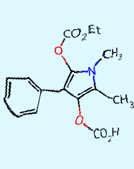 CCOC(=O)Oc1c(-c2ccccc2)c(OC(=O)O)c(C)n1C